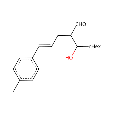 CCCCCCC(O)C(C=O)C/C=C/c1ccc(C)cc1